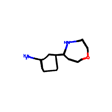 NC1CCC(C2COCCN2)C1